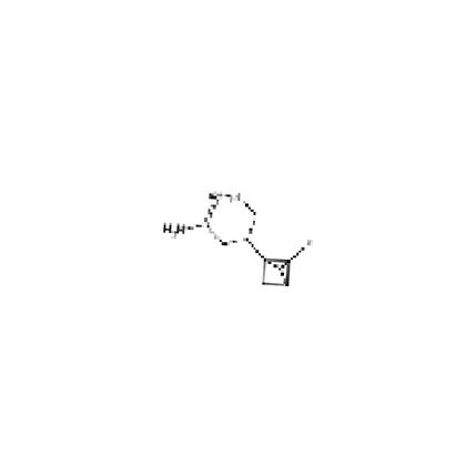 CCCCCCCCC(CC(N)=O)C12CC(C1)C2F